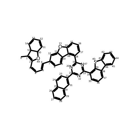 CC1=C(/C=C\C=C\c2ccc3c(c2)oc2cccc(-c4nc(-c5ccc6ccccc6c5)nc(-c5cccc6c5sc5ccccc56)n4)c23)OC2C=CC=CC12